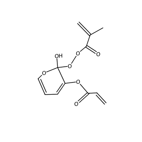 C=CC(=O)OC1=CC=COC1(O)OOC(=O)C(=C)C